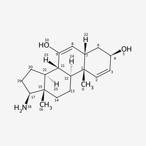 C[C@]12C=C[C@H](O)C[C@H]1C=C(O)[C@@H]1[C@@H]2CC[C@]2(C)[C@@H](N)CC[C@@H]12